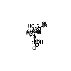 Cn1nnnc1SCC1=C(C(=O)O)N2C(=O)C(NC(=O)C(=NOCCNC(=O)c3cc(Cl)ccc3O)c3csc(NC=O)n3)[C@@H]2SC1